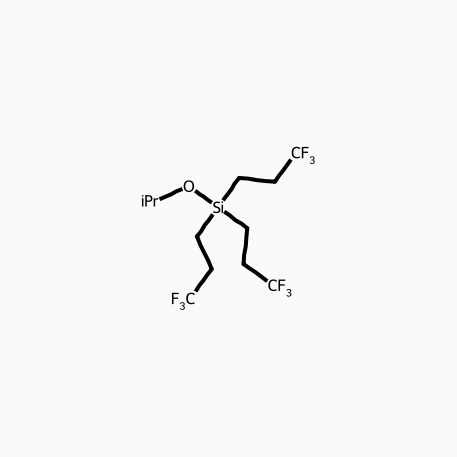 CC(C)O[Si](CCC(F)(F)F)(CCC(F)(F)F)CCC(F)(F)F